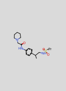 CC(CNS(=O)(=O)C(C)C)c1ccc(NC(=O)CN2CCCCC2)cc1